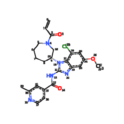 C=CC(=O)N1CCCC[C@@H](n2c(NC(=O)c3ccnc(C)c3)nc3cc(OC(F)(F)F)cc(Cl)c32)C1